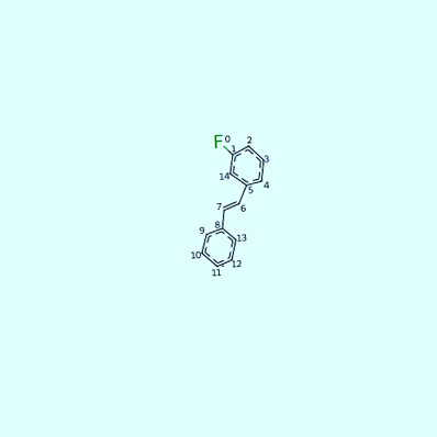 Fc1cccc(C=Cc2cc[c]cc2)c1